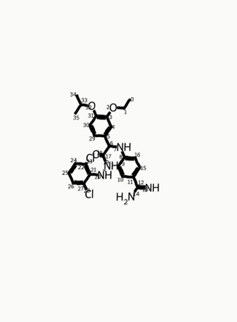 CCOc1cc(C(Nc2ccc(C(=N)N)cc2)C(=O)NNc2c(Cl)cccc2Cl)ccc1OC(C)C